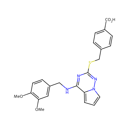 COc1ccc(CNc2nc(SCc3ccc(C(=O)O)cc3)nn3cccc23)cc1OC